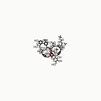 CC(C)C[C@@H](NC(=O)OC(C)(C)C)C(=O)N[C@H]1C(=O)C[C@@H](CC(N)=O)C(=O)N[C@H]2C(=O)C[C@H]3C(=O)N[C@H](C(=O)N[C@H](C(=O)O)c4cc(O)cc(O)c4-c4cc3ccc4O)[C@H](O)c3ccc(c(Cl)c3)Oc3cc2cc(c3OC2OC(CO)C(O)C(O)C2OC2CC(C)(NC(=O)OC(C)(C)C)C(O)C(C)O2)Oc2ccc(cc2Cl)[C@H]1O